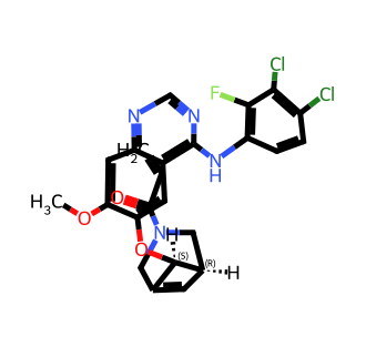 C=CC(=O)N1CC2=C[C@H](C1)[C@@H]2Oc1cc2c(Nc3ccc(Cl)c(Cl)c3F)ncnc2cc1OC